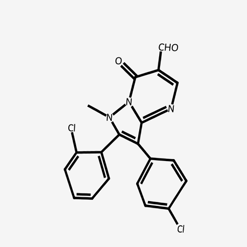 Cn1c(-c2ccccc2Cl)c(-c2ccc(Cl)cc2)c2ncc(C=O)c(=O)n21